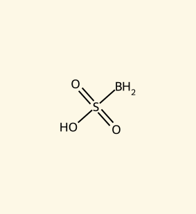 BS(=O)(=O)O